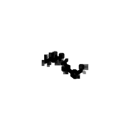 C[C@H](NC(=O)c1cc(C(F)(F)F)nn1C)c1cc(-c2ccnc([C@@H](C)O)c2)no1